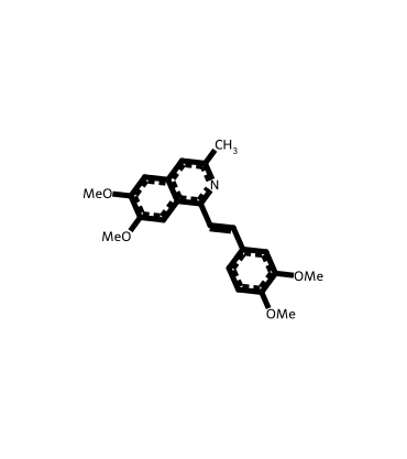 COc1ccc(/C=C/c2nc(C)cc3cc(OC)c(OC)cc23)cc1OC